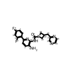 Nc1ccc(-c2ccc(F)cc2F)nc1NC(=O)N1CC(Cc2cnccn2)C1